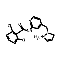 CN1C=CCN1Cc1ccnc(NC(=O)c2c(Cl)cccc2Cl)c1